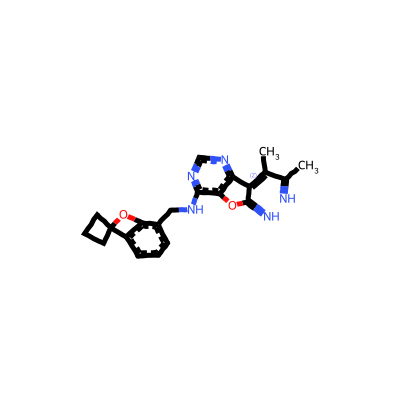 CC(=N)/C(C)=C1\C(=N)Oc2c(NCc3cccc4c3OC43CCC3)ncnc21